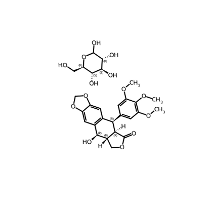 COc1cc([C@@H]2c3cc4c(cc3[C@H](O)[C@H]3COC(=O)[C@H]23)OCO4)cc(OC)c1OC.OC[C@H]1OC(O)[C@H](O)[C@@H](O)[C@@H]1O